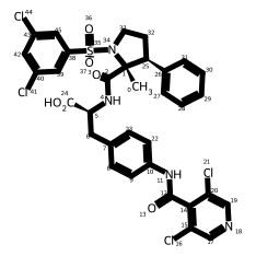 C[C@]1(C(=O)N[C@@H](Cc2ccc(NC(=O)c3c(Cl)cncc3Cl)cc2)C(=O)O)[C@H](c2ccccc2)CCN1S(=O)(=O)c1cc(Cl)cc(Cl)c1